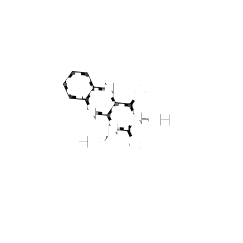 Cn1c(=O)c2nc3ccccc3nc2n(C)c1=O